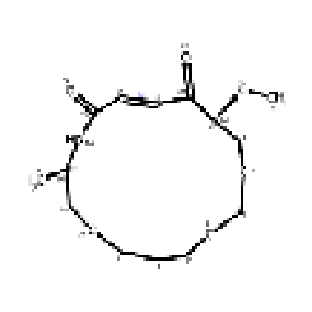 CO[C@H]1CCCCCCCCC[C@@H](C)NC(=O)/C=C/C1=O